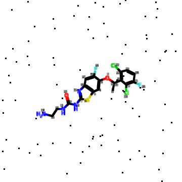 C[C@@H](Oc1cc2sc(NC(=O)NCCN)nc2cc1F)c1c(Cl)ccc(F)c1Cl